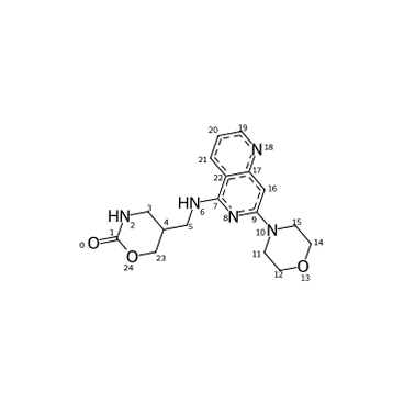 O=C1NCC(CNc2nc(N3CCOCC3)cc3ncccc23)CO1